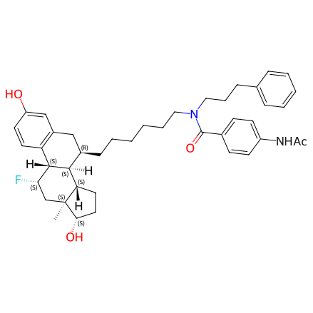 CC(=O)Nc1ccc(C(=O)N(CCCCCC[C@@H]2Cc3cc(O)ccc3[C@@H]3[C@@H]2[C@@H]2CC[C@H](O)[C@@]2(C)C[C@@H]3F)CCCc2ccccc2)cc1